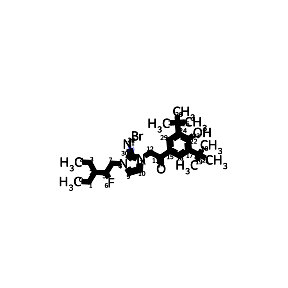 CCC(CC)C(F)Cn1ccn(CC(=O)c2cc(C(C)(C)C)c(O)c(C(C)(C)C)c2)/c1=N\Br